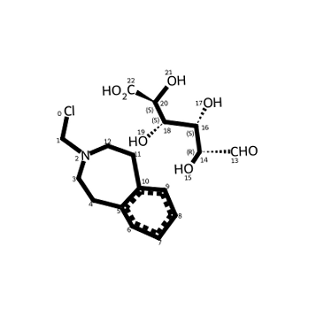 ClCN1CCc2ccccc2CC1.O=C[C@H](O)[C@@H](O)[C@H](O)[C@H](O)C(=O)O